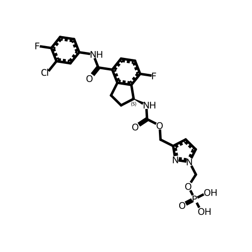 O=C(N[C@H]1CCc2c(C(=O)Nc3ccc(F)c(Cl)c3)ccc(F)c21)OCc1ccn(COP(=O)(O)O)n1